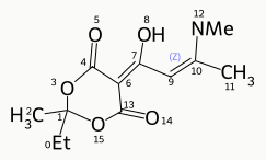 CCC1(C)OC(=O)C(=C(O)/C=C(/C)NC)C(=O)O1